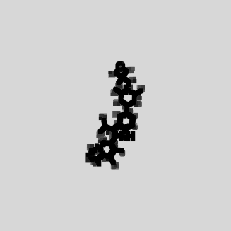 Cc1c(-c2[nH]c3ccc(C4CC(C)N(CC5(C)COC5)C(C)C4)cc3c2C(C)C)cn2cnnc2c1C